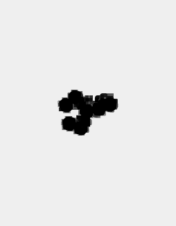 CC1(C)c2cc(-c3cc(-c4nc5n(n4)CCC=C5c4ccccc4)cc(-c4nc5c(-c6ccccc6)cccn5n4)c3)ccc2C2C=CC=CC21